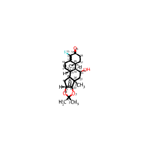 CC1(C)O[C@@H]2[C@@H](C[C@H]3[C@@H]4CCC5=C(F)C(=O)CC[C@]5(C)[C@H]4[C@@H](O)C[C@]23C)O1